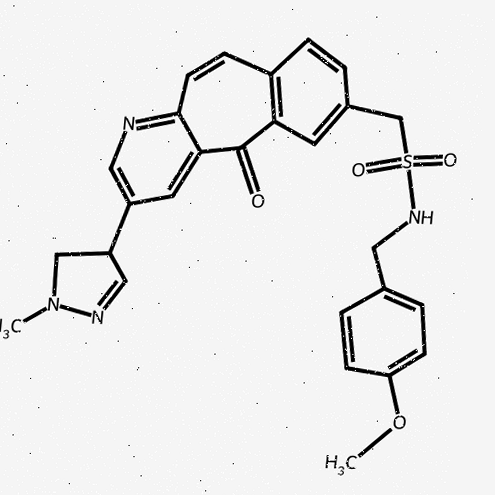 COc1ccc(CNS(=O)(=O)Cc2ccc3ccc4ncc(C5C=NN(C)C5)cc4c(=O)c3c2)cc1